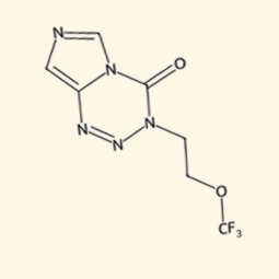 O=c1n(CCOC(F)(F)F)nnc2cncn12